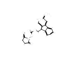 C=C/C=C1\C(=C/C)C(COC(=O)ON2C(=O)CCC2=O)c2ccccc21